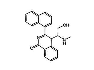 CNC(CO)C1C(c2cccc3ccccc23)=NC(=O)c2ccccc21